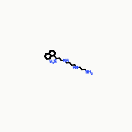 NCCCNCCCCNCC[C@@H](N)c1cccc2ccccc12